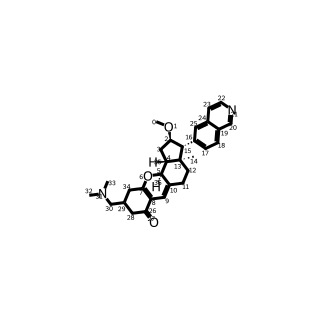 CO[C@@H]1C[C@H]2[C@@H]3OC4=C(C=C3CC[C@]2(C)[C@H]1c1ccc2cnccc2c1)C(=O)CC(CN(C)C)C4